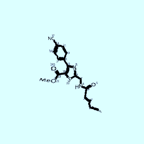 C=CCCC(=O)NCc1nc(-c2ccc(C#N)cc2)c(C(=O)OC)s1